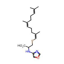 CC(C)=CCCC(C)=CCCC(C)=CSCC(Nc1cocn1)C(=O)O